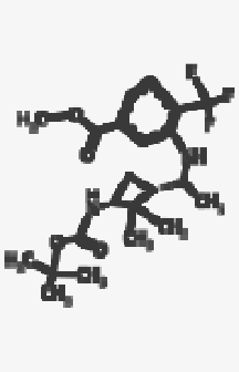 COC(=O)c1ccc(C(F)(F)F)c(NC(C)[C@H]2C[C@@H](NC(=O)OC(C)(C)C)C2(C)C)c1